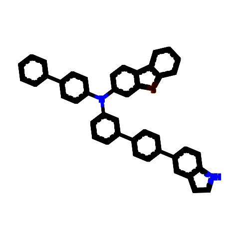 c1ccc(-c2ccc(N(c3cccc(-c4ccc(-c5ccc6[nH]ccc6c5)cc4)c3)c3ccc4c(c3)sc3ccccc34)cc2)cc1